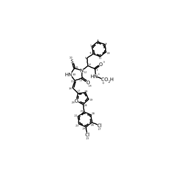 O=C(O)NC(=O)C(Cc1ccccc1)N1C(=O)/C(=C\c2ccc(-c3ccc(Cl)c(Cl)c3)o2)NC1=S